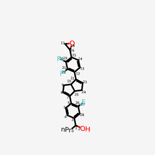 CCCC(O)c1ccc(C2=CCC3C(c4ccc(C5CO5)c(F)c4F)=CCC23)c(F)c1